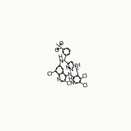 CS(=O)(=O)c1cccc(C(Nc2cc(Cl)c3ncc(C#N)c(Nc4ccc(Cl)c(Cl)c4F)c3c2)c2c[nH]nn2)c1